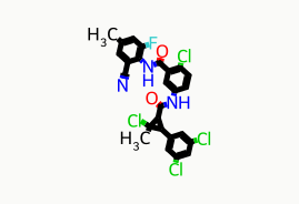 Cc1cc(F)c(NC(=O)c2cc(NC(=O)C3C(c4cc(Cl)cc(Cl)c4)C3(C)Cl)ccc2Cl)c(C#N)c1